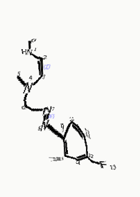 CN/C=C\N(C)C/N=N/c1ccc(F)cc1